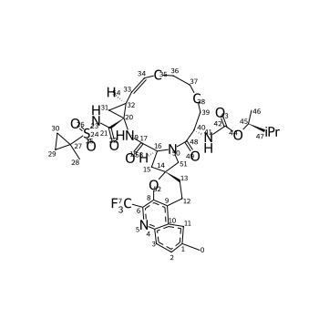 Cc1ccc2nc(C(F)(F)F)c3c(c2c1)CC[C@]1(C[C@H]2C(=O)N[C@]4(C(=O)NS(=O)(=O)C5(C)CC5)C[C@H]4/C=C\CCCCC[C@H](NC(=O)O[C@@H](C)C(C)C)C(=O)N2C1)O3